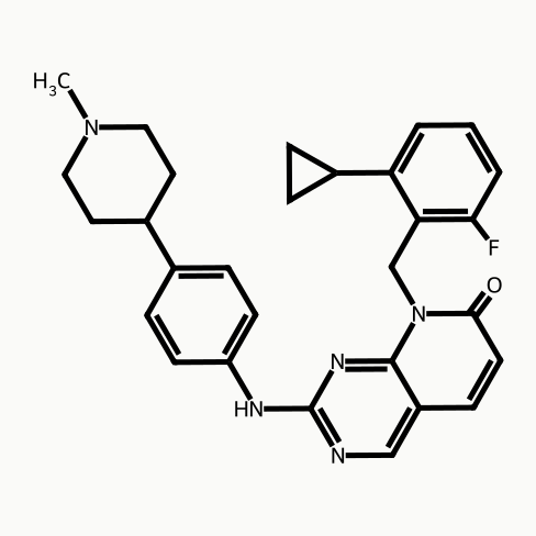 CN1CCC(c2ccc(Nc3ncc4ccc(=O)n(Cc5c(F)cccc5C5CC5)c4n3)cc2)CC1